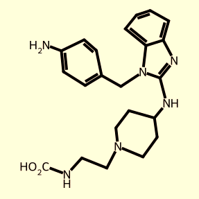 Nc1ccc(Cn2c(NC3CCN(CCNC(=O)O)CC3)nc3ccccc32)cc1